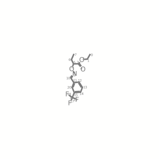 CCOC(=O)C(CC)ON=Cc1cccc(C(F)(F)F)c1